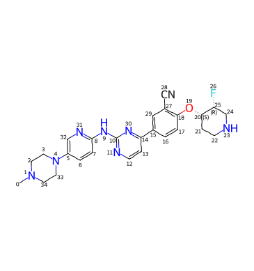 CN1CCN(c2ccc(Nc3nccc(-c4ccc(O[C@H]5CCNC[C@H]5F)c(C#N)c4)n3)nc2)CC1